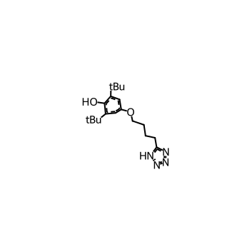 CC(C)(C)c1cc(OCCCCc2nnn[nH]2)cc(C(C)(C)C)c1O